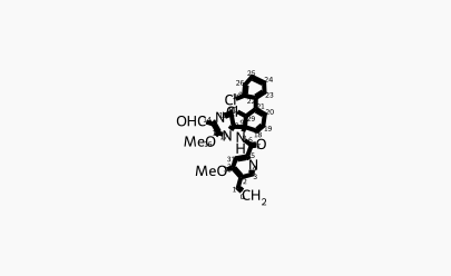 C=Cc1cnc(C(=O)NC2(c3cnc(C=O)c(OC)n3)C=CC=C(c3ccccc3Cl)C2Cl)cc1OC